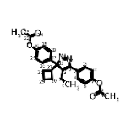 CCC1=C(c2ccc(OC(C)=O)cc2)N=NC1(c1ccc(OC(C)=O)cc1)C1CCC1